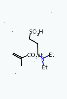 C=C(C)C(=O)OCC.CCN(CC)CCCS(=O)(=O)O